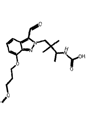 COCCCOc1cccc2c(C=O)n(CC(C)(C)C(C)NC(=O)O)nc12